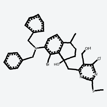 CSc1nc(Cl)c(CO)c(CC2(O)CCC(C)c3ccc(N(Cc4ccccc4)Cc4ccccc4)c(Br)c32)n1